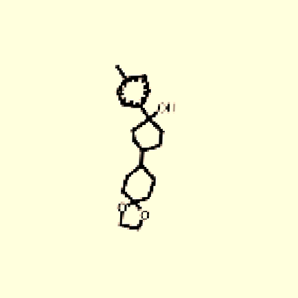 Cc1ccc(C2(O)CCC(C3CCC4(CC3)OCCO4)CC2)cc1